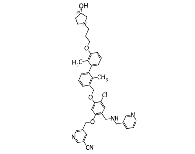 Cc1c(COc2cc(OCc3cncc(C#N)c3)c(CNCc3cccnc3)cc2Cl)cccc1-c1cccc(OCCCN2CC[C@@H](O)C2)c1C